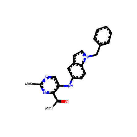 COC(=O)c1nc(SC)ncc1Nc1ccc2c(ccn2Cc2ccccc2)c1